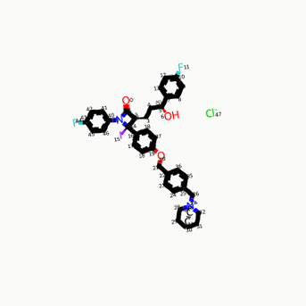 O=C1[C@@H](CC[C@H](O)c2ccc(F)cc2)[C@](I)(c2ccc(OCc3ccc(C[N+]45CCC(CC4)CC5)cc3)cc2)N1c1ccc(F)cc1.[Cl-]